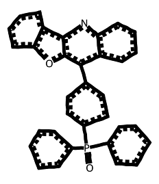 O=P(c1ccccc1)(c1ccccc1)c1ccc(-c2c3ccccc3nc3c2oc2ccccc23)cc1